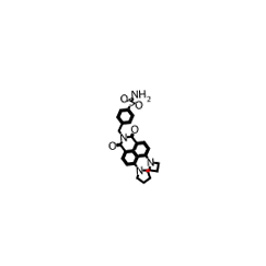 NS(=O)(=O)c1ccc(CN2C(=O)c3ccc(N4CCCC4)c4c(N5CCC5)ccc(c34)C2=O)cc1